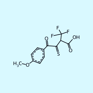 COc1ccc(C(=O)C(=S)C(C(=O)O)C(F)(F)F)cc1